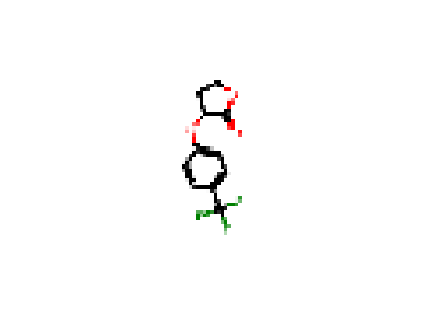 O=C1OCC[C@@H]1Oc1ccc(C(F)(F)F)cc1